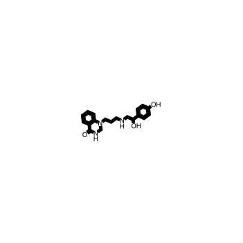 O=C1NCN(CCCNCC(O)c2ccc(O)cc2)c2ccccc21